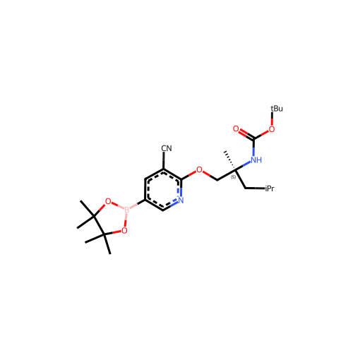 CC(C)C[C@@](C)(COc1ncc(B2OC(C)(C)C(C)(C)O2)cc1C#N)NC(=O)OC(C)(C)C